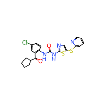 O=C(Nc1ncc(Sc2ccccn2)s1)Nc1ccc(Cl)cc1C(=O)C1CCCC1